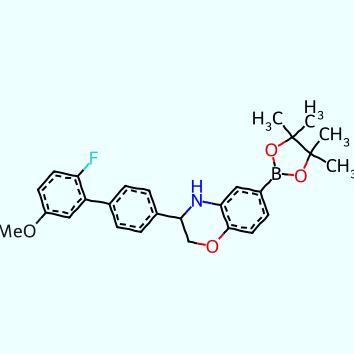 COc1ccc(F)c(-c2ccc(C3COc4ccc(B5OC(C)(C)C(C)(C)O5)cc4N3)cc2)c1